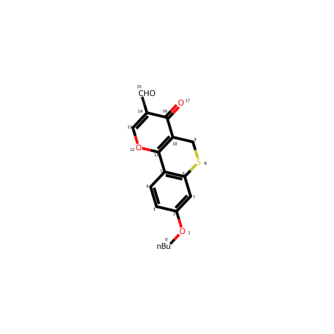 CCCCOc1ccc2c(c1)SCc1c-2occ(C=O)c1=O